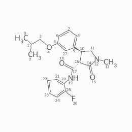 CC(C)COc1cccc([C@H]2CN(C)C(=O)[C@@H]2C(=O)Nc2ccccc2F)c1